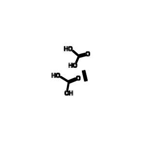 C=C.O=C(O)O.O=C(O)O